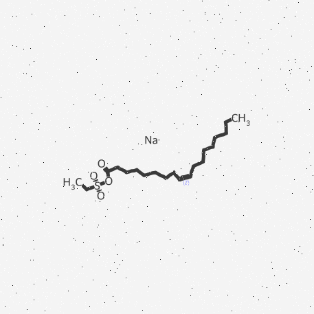 CCCCCCCC/C=C\CCCCCCCC(=O)OS(=O)(=O)CC.[Na]